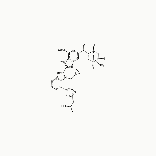 COc1cc(C(=O)N2C[C@H]3CC[C@@H]2C[C@@H]3N)cc2nc(-c3cc4cccc(-c5cnn(C[C@@H](C)O)c5)c4n3CC3CC3)n(C)c12